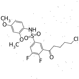 COc1ccc(NS(=O)(=O)c2cc(F)c(F)c(C(=O)CCCCCl)c2)c(OC)c1